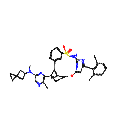 Cc1cccc(C)c1-c1cc2nc(n1)NS(=O)(=O)c1cccc(c1)C1C(c3nc(N(C)C4CC5(CC5)C4)cnc3C)CC(O2)C1C(C)C